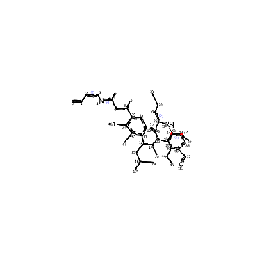 C=C/C=C\N=C(/C)CC(C)c1ccc(C(CC(C)C)C(C)C(C/C=C\C)C(=C)/C(=C/CC)Nc2ccc(C=O)c(CC)c2)c(C)c1F